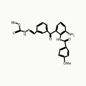 COc1ccc(C(=O)Nc2c(N)cccc2C(=O)c2cccc(C=NNC(=O)OC(C)(C)C)c2)cc1